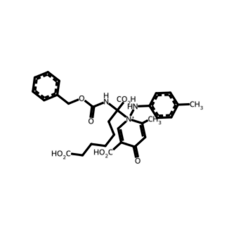 CC1=CC(=O)C(C(=O)O)=C[N+]1(Nc1ccc(C)cc1)C(CCCCCC(=O)O)(NC(=O)OCc1ccccc1)C(=O)O